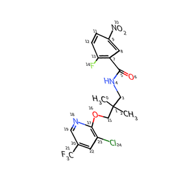 CC(C)(CNC(=O)c1cc([N+](=O)[O-])ccc1F)COc1ncc(C(F)(F)F)cc1Cl